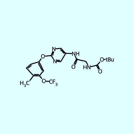 Cc1ccc(Oc2ncc(NC(=O)CNC(=O)OC(C)(C)C)cn2)cc1OC(F)(F)F